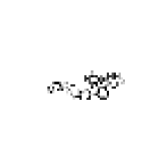 NS(=O)(=O)c1cccc(-c2ccc(CNC[C@@]3(O)CCOC3)cc2)c1-c1nnn[nH]1